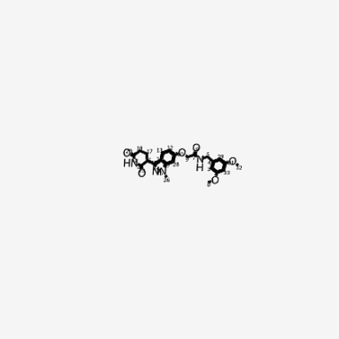 COc1cc(CNC(=O)COc2ccc3c(C4CCC(=O)NC4=O)nn(C)c3c2)cc(OC)c1